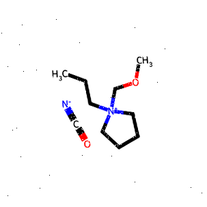 CCC[N+]1(COC)CCCC1.[N-]=C=O